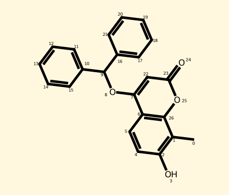 Cc1c(O)ccc2c(OC(c3ccccc3)c3ccccc3)cc(=O)oc12